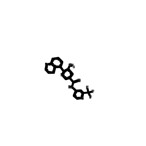 Cc1cc(C(=O)Nc2ccnc(C(F)(F)F)c2)cnc1-c1cccc2ncccc12